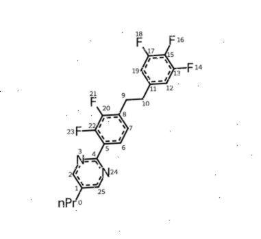 CCCc1cnc(-c2ccc(CCc3cc(F)c(F)c(F)c3)c(F)c2F)nc1